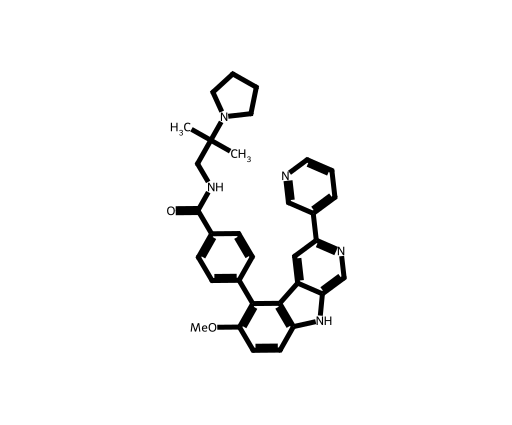 COc1ccc2[nH]c3cnc(-c4cccnc4)cc3c2c1-c1ccc(C(=O)NCC(C)(C)N2CCCC2)cc1